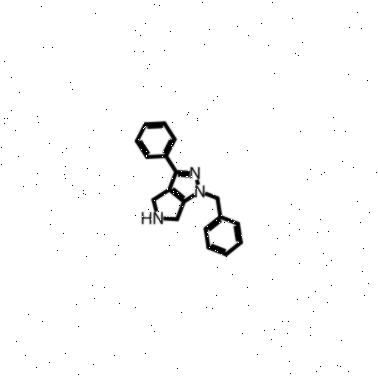 c1ccc(Cn2nc(-c3ccccc3)c3c2CNC3)cc1